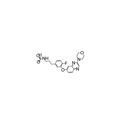 O=[SH](=O)NCCCc1ccc(F)c(Oc2ccc3ncc(N4CCOCC4)nc3c2)c1